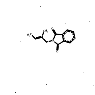 C/C=C(\C)CN1C(=O)c2ccccc2C1=O